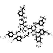 COc1ccc(COCC2OCC(NC(=O)Nc3cccc(C(F)(F)F)c3)[C@@H](O[C@@H]3OC(COCc4ccc(OC)cc4)[C@H](OCc4ccc(OC)cc4)[C@H](OCc4ccc(OC)cc4)C3NC(=O)Nc3cccc(C(F)(F)F)c3)[C@H]2N)cc1